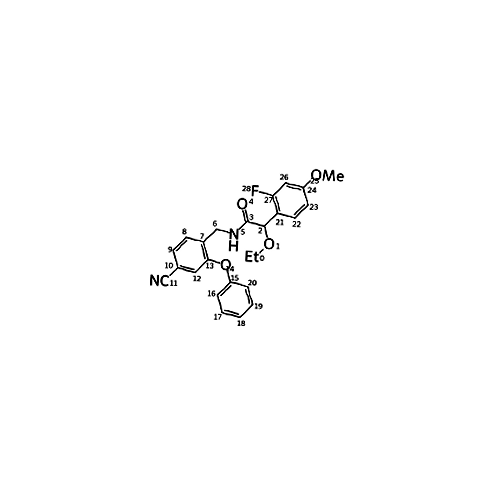 CCOC(C(=O)NCc1ccc(C#N)cc1Oc1ccccc1)c1ccc(OC)cc1F